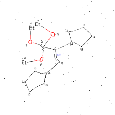 CCO[Si](OCC)(OCC)/C(=C\C1CCCC1)C1CCCC1